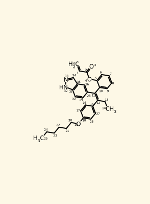 C=CC(=O)Oc1ccccc1/C(=C(\CC)c1ccc(OCCCCCC)cc1)c1ccc2[nH]ncc2c1